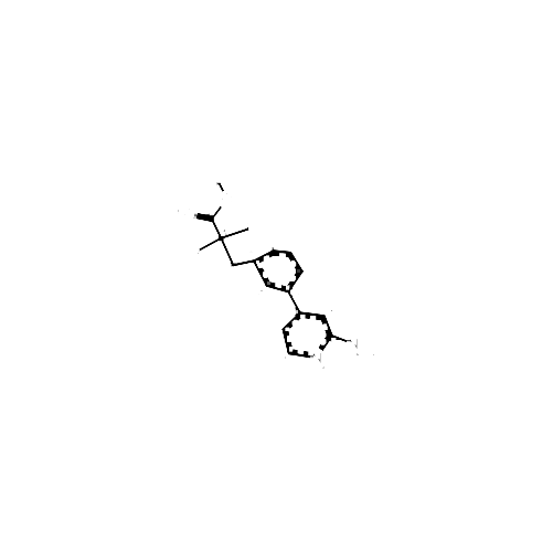 COC(=O)C(C)(C)Cc1cccc(-c2ccnc(N)c2)c1